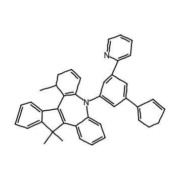 CC1CC=CC2=C1C1=C(c3ccccc3N2c2cc(C3=CCCC=C3)cc(-c3ccccn3)c2)C(C)(C)c2ccccc21